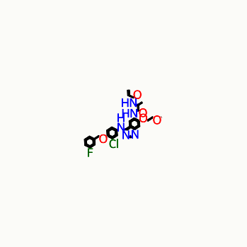 C=CC(=O)NC(C)C(=O)Nc1cc2c(Nc3ccc(OCc4cccc(F)c4)c(Cl)c3)ncnc2cc1OCCOC